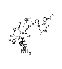 CCOc1ccccc1OC/C=N\[C@H](CSC)Cc1ccc(OC)c(SOON)c1